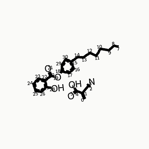 C=C(C#N)C(=O)O.CCCCCCCCc1ccc(OC(=O)c2ccccc2O)cc1